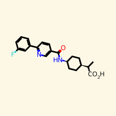 CC(C(=O)O)[C@H]1CC[C@@H](NC(=O)c2ccc(-c3cccc(F)c3)nc2)CC1